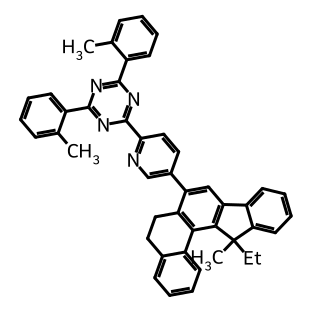 CCC1(C)c2ccccc2-c2cc(-c3ccc(-c4nc(-c5ccccc5C)nc(-c5ccccc5C)n4)nc3)c3c(c21)-c1ccccc1CC3